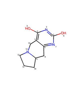 Oc1nc(O)c2c(n1)CC1CCCN1C2